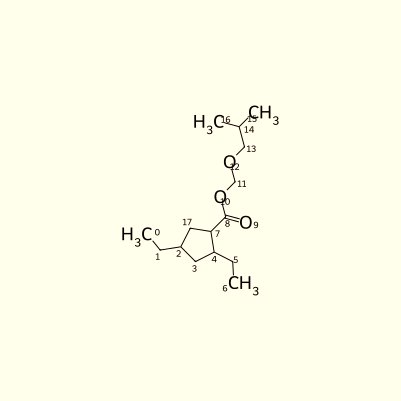 CCC1CC(CC)C(C(=O)OCOCC(C)C)C1